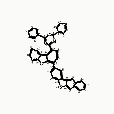 c1ccc(-c2nc(-c3ccccc3)nc(-c3ccc(-c4ccc5sc6cc7ccccc7cc6c5c4)c4oc5ccccc5c34)n2)cc1